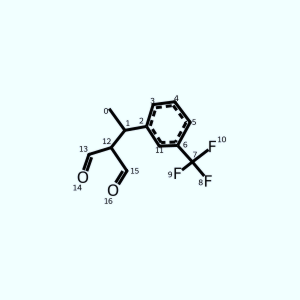 CC(c1cccc(C(F)(F)F)c1)C(C=O)C=O